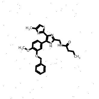 CCCC(=O)NCc1nc(-c2nc(C)cs2)c(-c2ccc(OC)c(OCc3ccccc3)c2)[nH]1